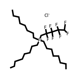 CCCCCCCC[P+](CCCCCCCC)(CCCCCCCC)CC(F)(F)C(F)(F)C(F)(F)C(F)F.[Cl-]